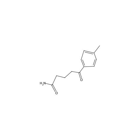 Cc1ccc(C(=O)CCCC(N)=O)cc1